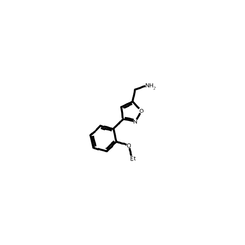 CCOc1ccccc1-c1cc(CN)on1